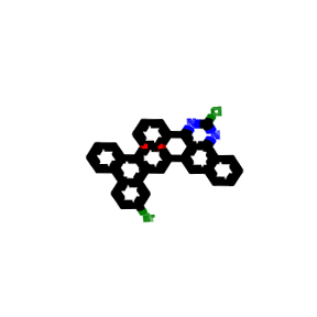 Clc1nc(-c2ccccc2)c2c(-c3ccc4c5ccccc5c5ccc(Br)cc5c4c3)cc3ccccc3c2n1